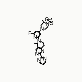 CC1c2cnc(-c3ncccn3)nc2CCN1c1cc(N2CCN(S(C)(=O)=O)C(C)C2)cc(F)n1